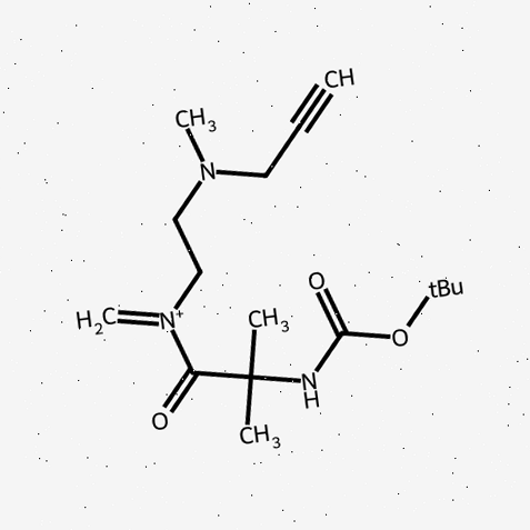 C#CCN(C)CC[N+](=C)C(=O)C(C)(C)NC(=O)OC(C)(C)C